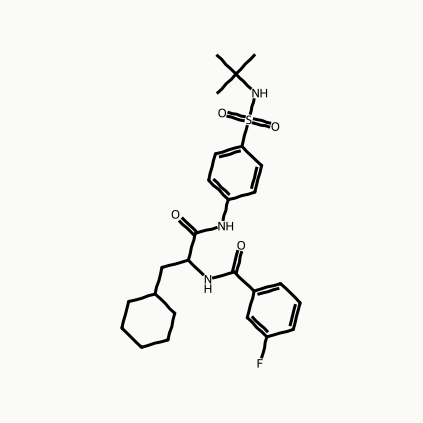 CC(C)(C)NS(=O)(=O)c1ccc(NC(=O)C(CC2CCCCC2)NC(=O)c2cccc(F)c2)cc1